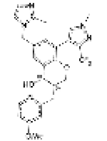 COc1ccnc(C[C@H]2COc3c(-c4cn(C)nc4C(F)(F)F)cc(Cn4ccnc4C)cc3[C@H]2O)c1